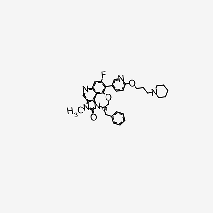 Cn1c(=O)n2c3c4c(c(-c5ccc(OCCCN6CCCCC6)nc5)c(F)cc4ncc31)OC[C@H]2Cc1ccccc1